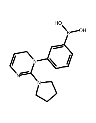 OB(O)c1cccc(N2CC=CN=C2N2CCCC2)c1